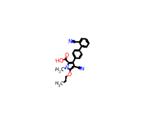 CCCOc1c(C#N)c(-c2ccc(-c3ccccc3C#N)cc2)c(C(=O)O)n1C